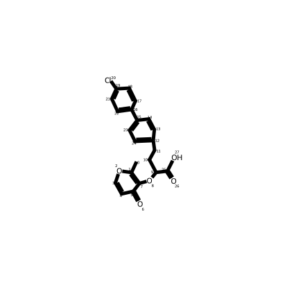 Cc1occc(=O)c1OC(CCc1ccc(-c2ccc(Cl)cc2)cc1)C(=O)O